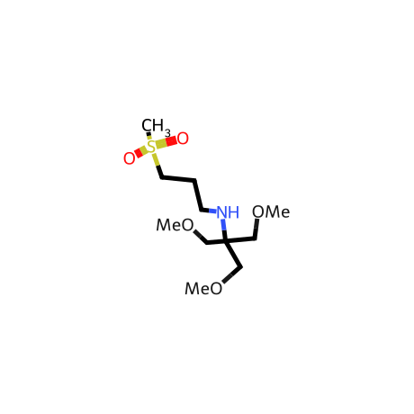 COCC(COC)(COC)NCCCS(C)(=O)=O